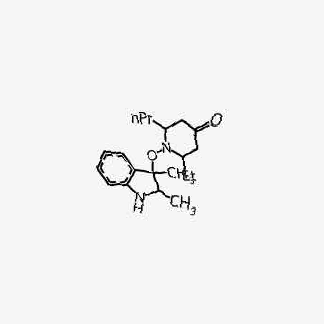 CCCC1CC(=O)CC(CC)N1OC1(C)c2ccccc2NC1C